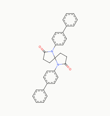 O=C1CCC2(CCC(=O)N2c2ccc(-c3ccccc3)cc2)N1c1ccc(-c2ccccc2)cc1